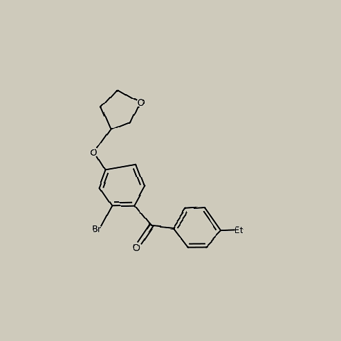 CCc1ccc(C(=O)c2ccc(OC3CCOC3)cc2Br)cc1